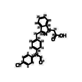 O=CN(c1ccc(Cl)cc1)c1ccc(Cc2nn(CC(=O)O)c3ccccc23)cc1